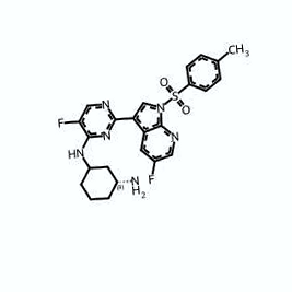 Cc1ccc(S(=O)(=O)n2cc(-c3ncc(F)c(NC4CCC[C@@H](N)C4)n3)c3cc(F)cnc32)cc1